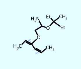 C/C=C\C(=C/C)OCC(N)OC(C)(CC)CC